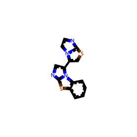 [c]1nc2sc3ccccc3n2c1-c1csc2nccn12